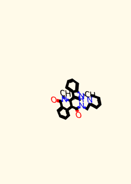 CN1C(=O)c2ccccc2C(C(=O)NCc2ccccn2)C1c1cn(C)c2ccccc12